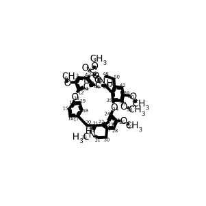 COc1cc(S(=O)(=O)OC)c2cc1Oc1ccc(cc1)C[C@@H]1c3cc(c(OC)cc3CCN1C)Oc1c(OC)c(OC)cc3c1[C@@H](C2)N(C)CC3